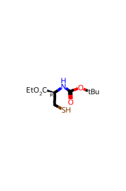 CCOC(=O)[C@H](CS)NC(=O)OC(C)(C)C